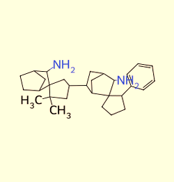 CC1(C)CC(C2CC3CC2C2(CCCC2c2ccccc2)C3N)CC12C1CCC(C1)C2N